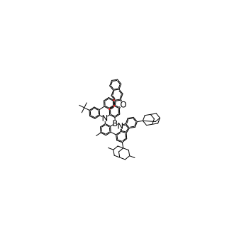 Cc1cc2c3c(c1)N(c1ccc(C(C)(C)C)cc1-c1ccccc1)c1cc4c(cc1B3n1c3ccc(C56CC7CC(CC(C7)C5)C6)cc3c3cc(C56CC(C)CC(CC(C)C5)C6)cc-2c31)oc1cc2ccccc2cc14